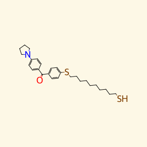 O=C(c1ccc(SCCCCCCCCCCS)cc1)c1ccc(N2CCCC2)cc1